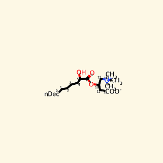 CCCCCCCCCCCCCCC(O)C(=O)OC(CC(=O)[O-])C[N+](C)(C)C